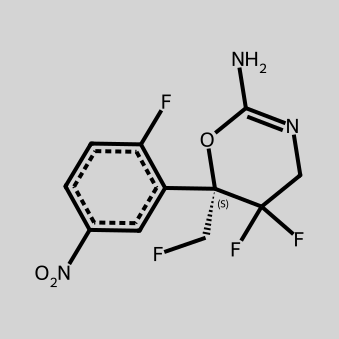 NC1=NCC(F)(F)[C@@](CF)(c2cc([N+](=O)[O-])ccc2F)O1